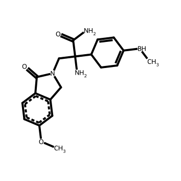 CBC1=CCC(C(N)(CN2Cc3cc(OC)ccc3C2=O)C(N)=O)C=C1